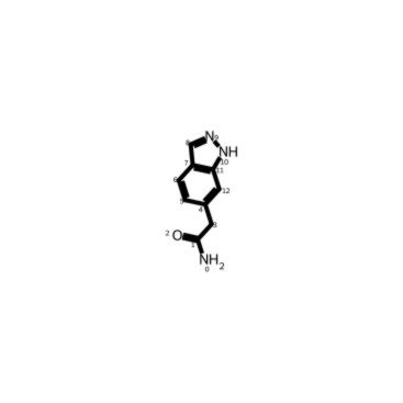 NC(=O)Cc1ccc2cn[nH]c2c1